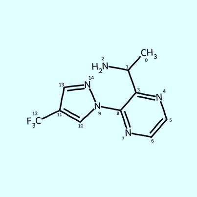 CC(N)c1nccnc1-n1cc(C(F)(F)F)cn1